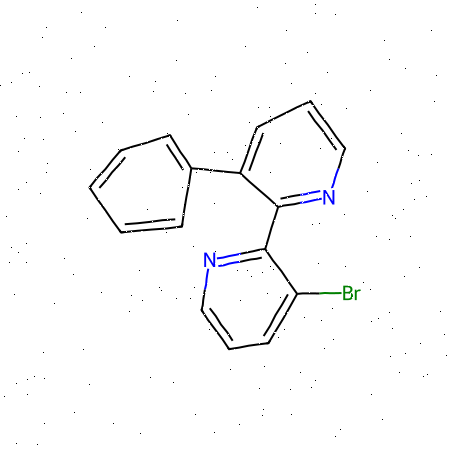 Brc1cccnc1-c1ncccc1-c1ccccc1